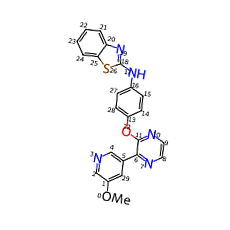 COc1cncc(-c2nccnc2Oc2ccc(Nc3nc4ccccc4s3)cc2)c1